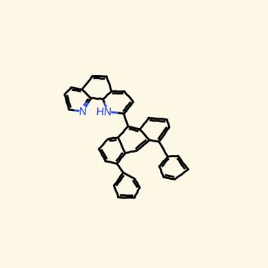 C1=Cc2cccnc2C2NC(c3c4cccc(-c5ccccc5)c4cc4c(-c5ccccc5)cccc34)=CC=C12